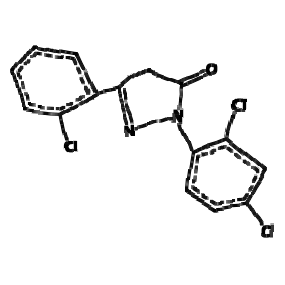 O=C1CC(c2ccccc2Cl)=NN1c1ccc(Cl)cc1Cl